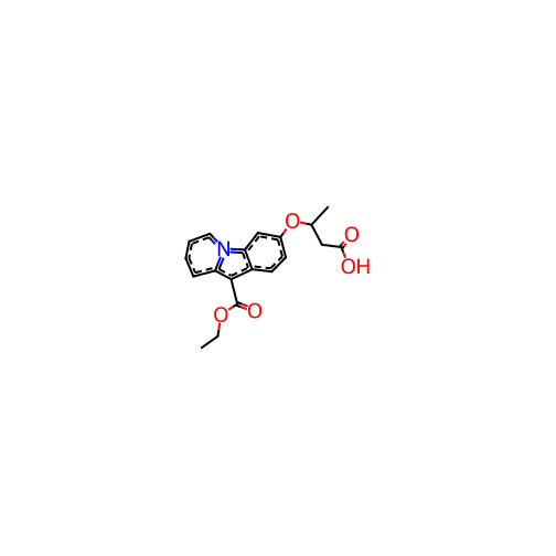 CCOC(=O)c1c2ccc(OC(C)CC(=O)O)cc2n2ccccc12